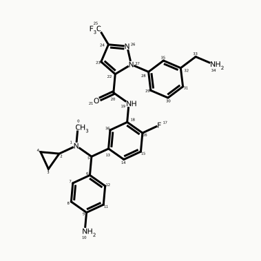 CN(C1CC1)C(c1ccc(N)cc1)c1ccc(F)c(NC(=O)c2cc(C(F)(F)F)nn2-c2cccc(CN)c2)c1